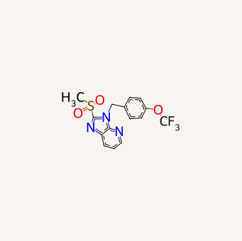 CS(=O)(=O)c1nc2cccnc2n1Cc1ccc(OC(F)(F)F)cc1